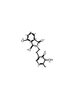 CC1=NC=C(CCN2C(=O)c3cccc(Cl)c3C2=O)C(=O)C1O